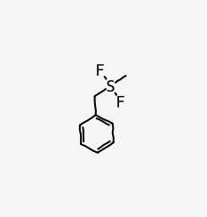 CS(F)(F)Cc1ccccc1